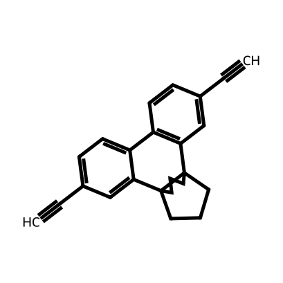 C#Cc1ccc2c(c1)C13CCCC1(CCC3)c1cc(C#C)ccc1-2